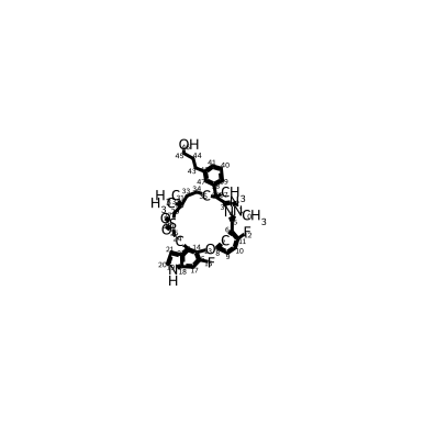 Cn1nc2nc1-c1cc(ccc1F)Oc1c(F)cc3[nH]ccc3c1CCS(=O)(=O)CC(C)(C)CCCC2(C)c1cccc(CCCO)c1